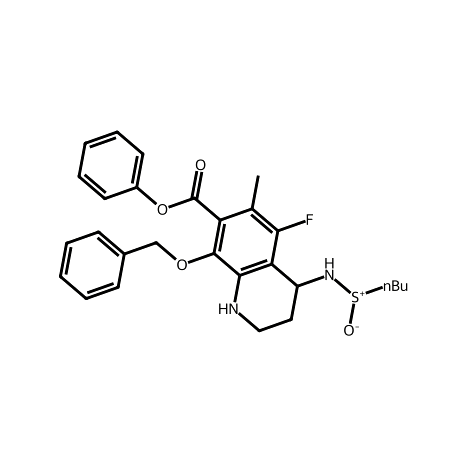 CCCC[S+]([O-])NC1CCNc2c(OCc3ccccc3)c(C(=O)Oc3ccccc3)c(C)c(F)c21